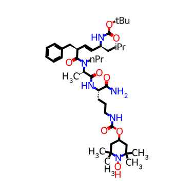 CCCN(C(=O)[C@H](/C=C/[C@H](CC(C)C)NC(=O)OC(C)(C)C)Cc1ccccc1)[C@@H](C)C(=O)N[C@@H](CCCNC(=O)OC1CC(C)(C)N(O)C(C)(C)C1)C(N)=O